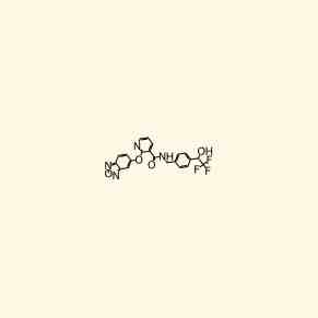 O=C(NCc1ccc(C(O)C(F)(F)F)cc1)c1cccnc1Oc1ccc2nonc2c1